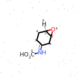 O=C(O)N[C@H]1CC[C@H]2OC2C1